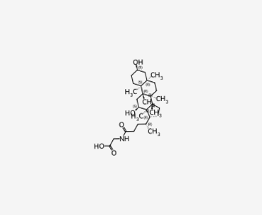 C[C@H](CCC(=O)NCC(=O)O)[C@H]1CC[C@]2(C)[C@]1(C)[C@@H](O)C[C@@]1(C)[C@@]2(C)CC[C@]2(C)C[C@H](O)CC[C@@]21C